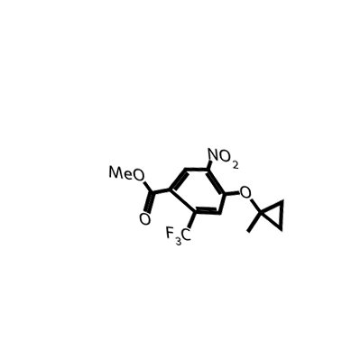 COC(=O)c1cc([N+](=O)[O-])c(OC2(C)CC2)cc1C(F)(F)F